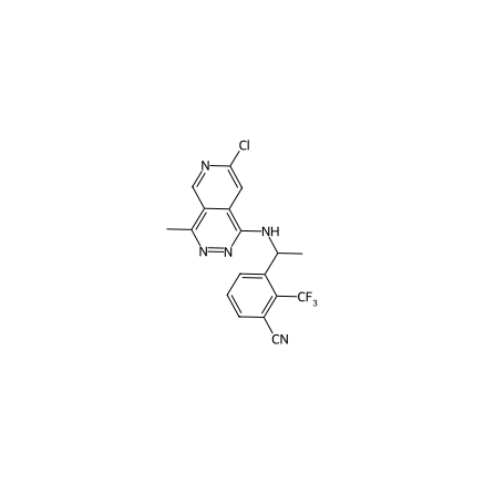 Cc1nnc(NC(C)c2cccc(C#N)c2C(F)(F)F)c2cc(Cl)ncc12